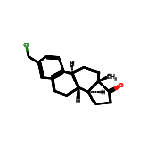 C[C@]12CC[C@@H]3c4ccc(CCl)cc4CC[C@H]3[C@@H]1CCC2=O